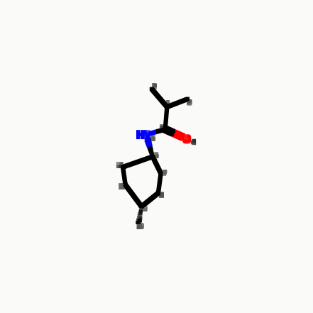 CC(C)C(=O)N[C@H]1CC[C@H](C)CC1